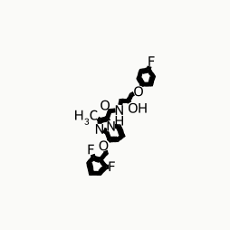 Cc1nc2c(OCc3c(F)cccc3F)cccn2c1C(=O)NCC(O)COc1ccc(F)cc1